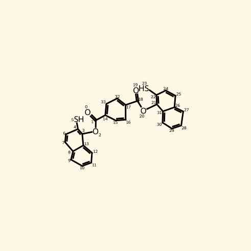 O=C(Oc1c(S)ccc2ccccc12)c1ccc(C(=O)Oc2c(S)ccc3ccccc23)cc1